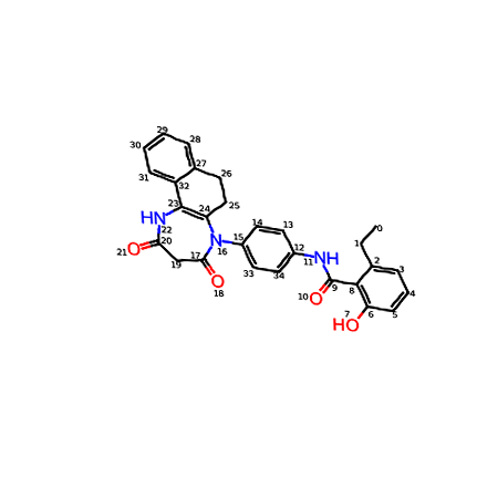 CCc1cccc(O)c1C(=O)Nc1ccc(N2C(=O)CC(=O)NC3=C2CCc2ccccc23)cc1